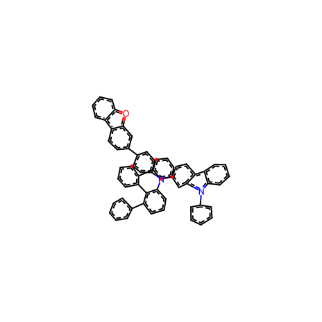 c1ccc(-c2ccccc2-c2c(-c3ccccc3)cccc2N(c2ccc(-c3ccc4c(c3)oc3ccccc34)cc2)c2ccc3c4ccccc4n(-c4ccccc4)c3c2)cc1